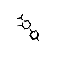 CC(C)N1CCN(c2ccc(F)cn2)C[C@H]1C